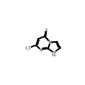 FC(F)(F)c1cc(=S)n2cc[nH]c2n1